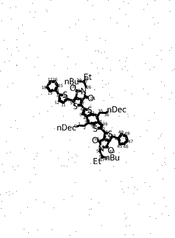 CCCCCCCCCCCCc1c2cc(-c3sc(-c4ccc(-c5ccccc5)s4)c4c3C(=O)N(CC(CC)CCCC)C4=O)sc2c(CCCCCCCCCCCC)c2cc(-c3sc(-c4ccccc4)c4c3C(=O)N(CC(CC)CCCC)C4=O)sc12